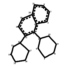 c1ccc2c(C3CCCCC3)c(C3CCCCC3)ccc2c1